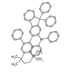 CC1(C)CCC(C)(C)c2cc(-c3cc4c(cc3N(c3ccccc3)c3ccccc3)C(c3ccccc3)(c3ccccc3)c3ccccc3-4)c(-c3ccccc3)cc21